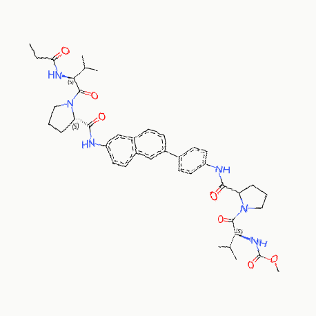 CCC(=O)N[C@H](C(=O)N1CCC[C@H]1C(=O)Nc1ccc2cc(-c3ccc(NC(=O)C4CCCN4C(=O)[C@@H](NC(=O)OC)C(C)C)cc3)ccc2c1)C(C)C